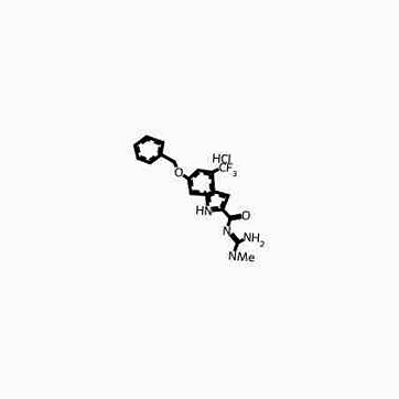 CNC(N)=NC(=O)c1cc2c(C(F)(F)F)cc(OCc3ccccc3)cc2[nH]1.Cl